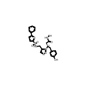 O=C(C[C@@H](Cc1ccc(O)cc1)n1nncc1CNS(=O)(=O)c1ccc(-c2ccccc2)s1)NO